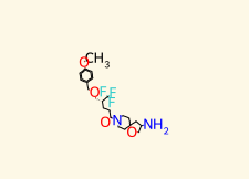 COc1ccc(COC[C@@H](CCC(=O)N2CCC3(CC2)CC(N)CO3)C(F)(F)F)cc1